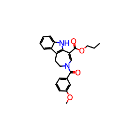 CCCOC(=O)C1=CN(C(=O)c2cccc(OC)c2)CCc2c1[nH]c1ccccc21